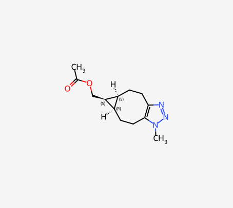 CC(=O)OC[C@@H]1[C@@H]2CCc3c(nnn3C)CC[C@@H]21